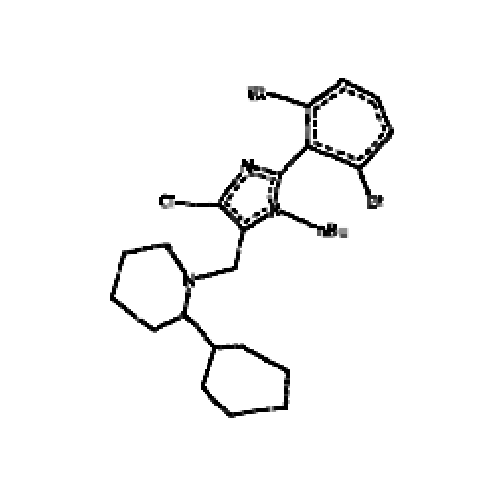 CCCCn1c(-c2c(CC)cccc2CC)nc(Cl)c1CN1CCCCC1C1CCCCC1